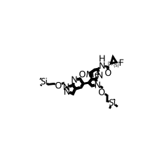 COc1nc2c(cnn2COCC[Si](C)(C)C)cc1-c1cn(COCC[Si](C)(C)C)c2nc(NC(=O)[C@@H]3C[C@@H]3F)ccc12